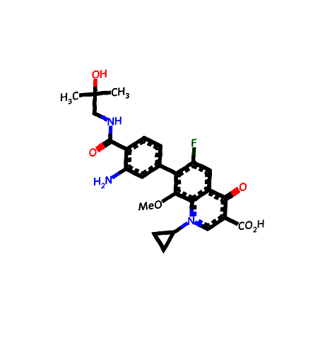 COc1c(-c2ccc(C(=O)NCC(C)(C)O)c(N)c2)c(F)cc2c(=O)c(C(=O)O)cn(C3CC3)c12